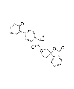 O=C1OC2(CCN(C(=O)C3(c4ccc(-n5ccccc5=O)cc4)CC3)C2)c2ccccc21